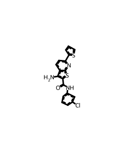 Nc1c(C(=O)Nc2cccc(Cl)c2)sc2nc(-c3cccs3)ccc12